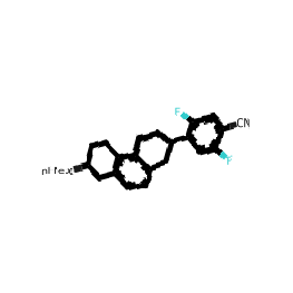 CCCCCCC1CCc2c(ccc3c2CCC(c2cc(F)c(C#N)cc2F)C3)C1